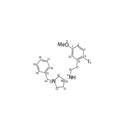 COc1ccc(I)c(CCN[C@@H]2CCN(Cc3ccccc3)C2)c1